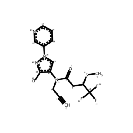 C#CCN(C(=O)CC(SC)C(F)(F)F)c1cn(-c2cccnc2)nc1Cl